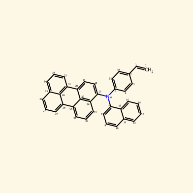 C=Cc1ccc(N(c2cccc3ccccc23)c2ccc3c4cccc5cccc(c6cccc2c63)c54)cc1